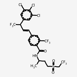 CC(CCS(=O)(=O)CC(F)(F)F)NC(=O)c1ccc(/C=C/C(c2cc(Cl)c(Cl)c(Cl)c2)C(F)(F)F)cc1C(F)(F)F